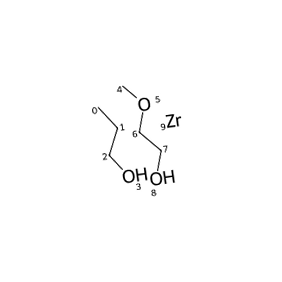 CCCO.COCCO.[Zr]